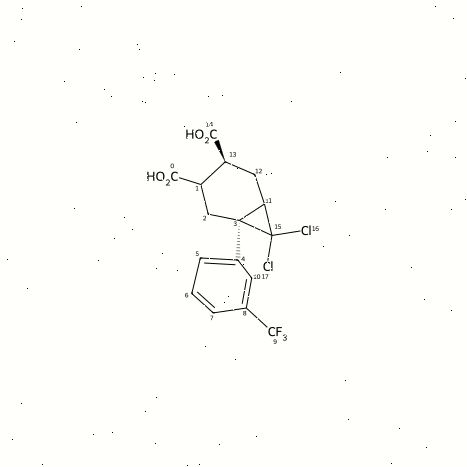 O=C(O)C1C[C@@]2(c3cccc(C(F)(F)F)c3)C(C[C@@H]1C(=O)O)C2(Cl)Cl